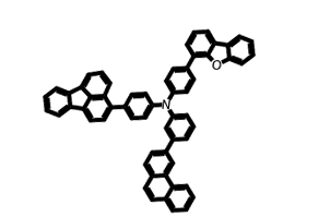 c1cc(-c2ccc3ccc4ccccc4c3c2)cc(N(c2ccc(-c3ccc4c5c(cccc35)-c3ccccc3-4)cc2)c2ccc(-c3cccc4c3oc3ccccc34)cc2)c1